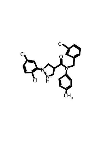 Cc1ccc(N(Cc2cccc(Cl)c2)C(=O)C2CNN(c3cc(Cl)ccc3Cl)C2)cc1